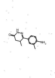 Cc1cc(C2=NNC(=O)CC2C)ccc1N